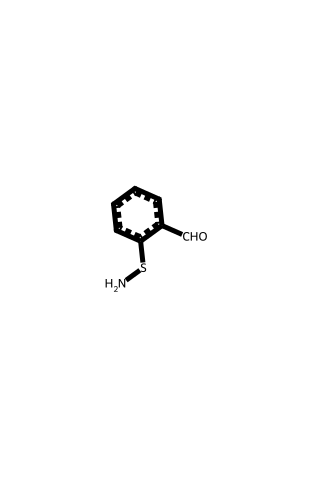 NSc1ccccc1C=O